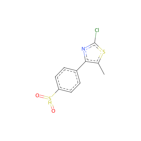 Cc1sc(Cl)nc1-c1ccc([SH](=O)=O)cc1